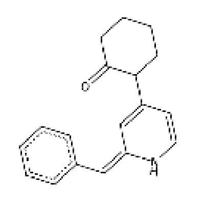 O=C1CCCCC1C1=CC(=Cc2ccccc2)NC=C1